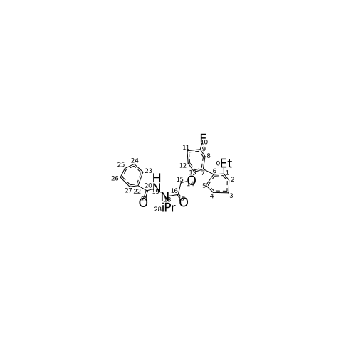 CCc1ccccc1-c1cc(F)ccc1OCC(=O)N(NC(=O)c1ccccc1)C(C)C